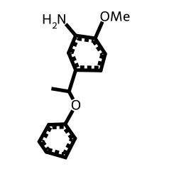 COc1ccc(C(C)Oc2ccccc2)cc1N